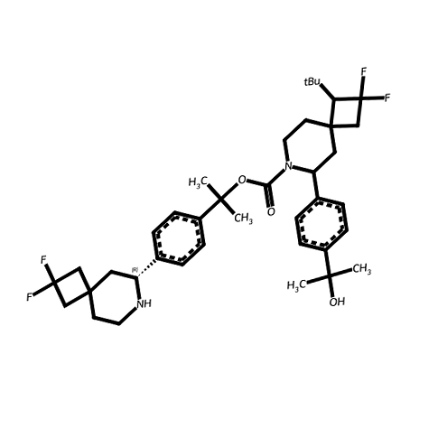 CC(C)(O)c1ccc(C2CC3(CCN2C(=O)OC(C)(C)c2ccc([C@H]4CC5(CCN4)CC(F)(F)C5)cc2)CC(F)(F)C3C(C)(C)C)cc1